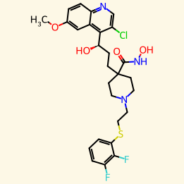 COc1ccc2ncc(Cl)c([C@H](O)CCC3(C(=O)NO)CCN(CCSc4cccc(F)c4F)CC3)c2c1